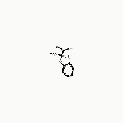 CCCC(CC)C(C)(Oc1ccccc1)C(=O)O